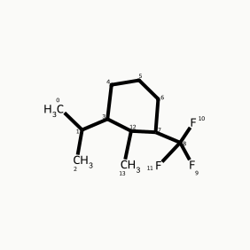 CC(C)C1CCCC(C(F)(F)F)C1C